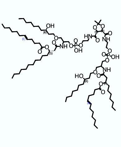 CCCCCC/C=C/CCCC(=O)O[C@H](CCCCCCC)CC(=O)NC(COCC[C@H](O)CCCCCCC)COP(=O)(O)OCCNC(=O)[C@@H]1OC(C)(C)O[C@@H]1C(=O)NCCOP(=O)(O)OCC(COCC[C@H](O)CCCCCCC)NC(=O)C[C@H](CCCCCCCCCCC)OC(=O)CCC/C=C/CCCCCC